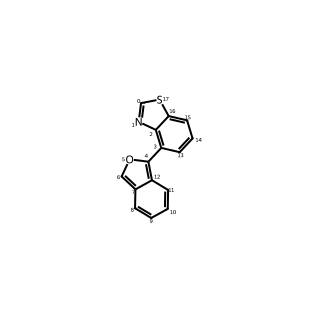 [c]1nc2c(-c3occ4ccccc34)cccc2s1